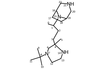 CC(CCC1(C)CN(C(C)(C)C)CCN1)N1C2CCC1CNC2